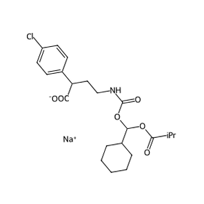 CC(C)C(=O)OC(OC(=O)NCCC(C(=O)[O-])c1ccc(Cl)cc1)C1CCCCC1.[Na+]